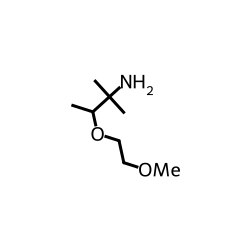 COCCOC(C)C(C)(C)N